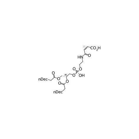 CCCCCCCCCCCC(=O)OC[C@H](COP(=O)(O)OCCNC(=O)/C=C\C(=O)O)OC(=O)CCCCCCCCCCC